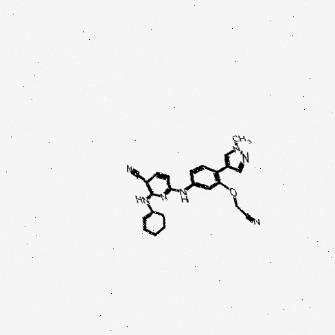 Cn1cc(-c2ccc(Nc3ccc(C#N)c(NC4CCCCC4)n3)cc2OCC#N)cn1